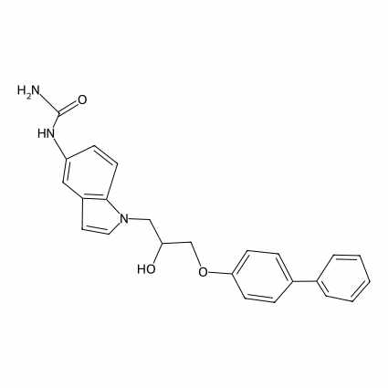 NC(=O)Nc1ccc2c(ccn2CC(O)COc2ccc(-c3ccccc3)cc2)c1